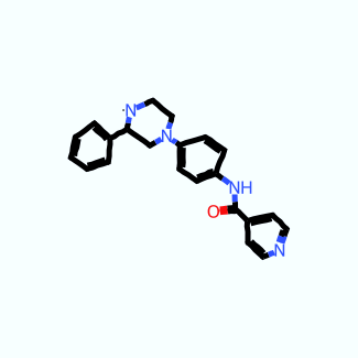 O=C(Nc1ccc(N2CC[N]C(c3ccccc3)C2)cc1)c1ccncc1